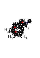 COC1CC(OC2C(C)OC(OC3C(C)OC(OC4C(C)OC(OC5CCC6(C)C(=CCC7(O)C6CC(OC(=O)/C=C/c6ccccc6)C6(C)C(O)(C(C)O)CCC76O)C5)CC4OC)CC3OC)CC2OC)OC(C)C1O